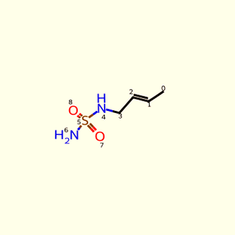 CC=CCNS(N)(=O)=O